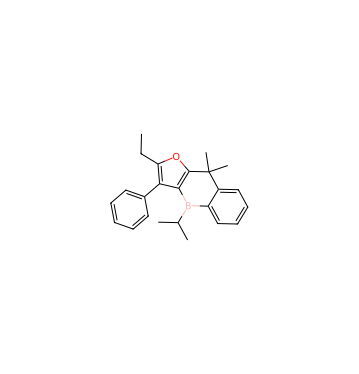 CCc1oc2c(c1-c1ccccc1)B(C(C)C)c1ccccc1C2(C)C